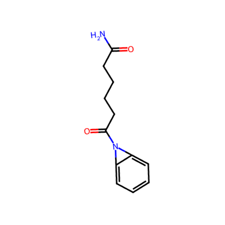 NC(=O)CCCCC(=O)N1c2ccccc21